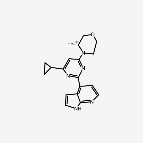 C[C@@H]1COCCN1c1cc(C2CC2)nc(-c2ccnc3[nH]ccc23)n1